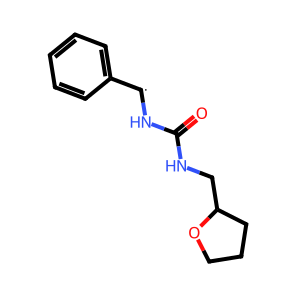 O=C(N[CH]c1ccccc1)NCC1CCCO1